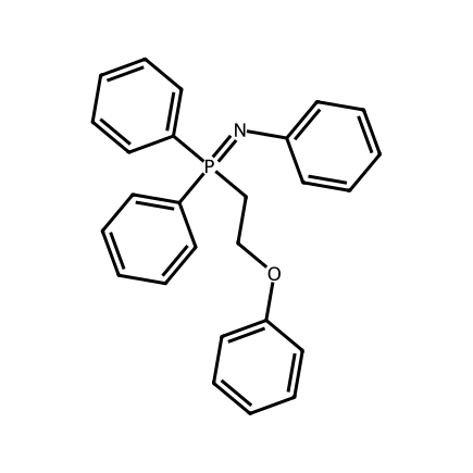 c1ccc(N=P(CCOc2ccccc2)(c2ccccc2)c2ccccc2)cc1